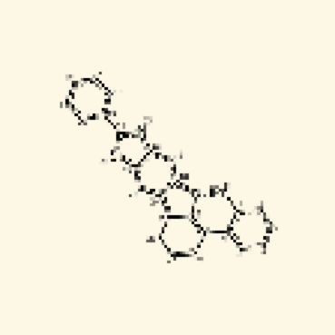 CC(C)c1ccccc1C1=C2N=c3cc4nc(-c5ccccc5)sc4cc3=C2CC=C1